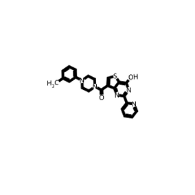 Cc1cccc(N2CCN(C(=O)c3csc4c(O)nc(-c5ccccn5)nc34)CC2)c1